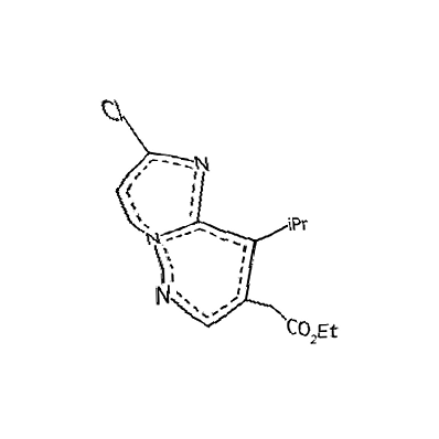 CCOC(=O)c1cnn2cc(Cl)nc2c1C(C)C